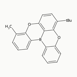 Cc1cccc2c1Oc1ccc(C(C)(C)C)c3c1B2c1ccccc1O3